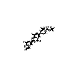 Cc1cn2cc(-c3nc(=O)n4cc(N5CCN(C(=O)OC(C)(C)C)C(C)(C)C5)cc(C)c4n3)cc(F)c2n1